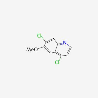 COc1cc2c(Cl)ccnc2cc1Cl